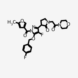 Cc1cc(C(=O)n2nc(C3CCN(CC(=O)N4CCOCC4)C3=O)c(F)c2OCc2ccc(F)cc2)co1